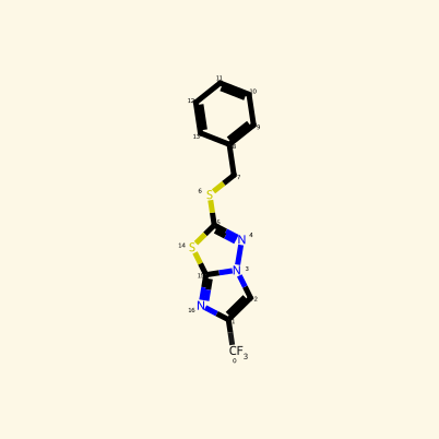 FC(F)(F)c1cn2nc(SCc3ccccc3)sc2n1